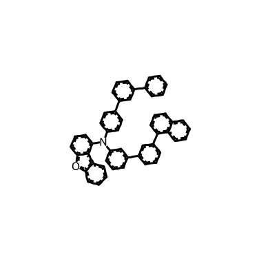 c1ccc(-c2cccc(-c3ccc(N(c4cccc(-c5cccc(-c6cccc7ccccc67)c5)c4)c4cccc5oc6ccccc6c45)cc3)c2)cc1